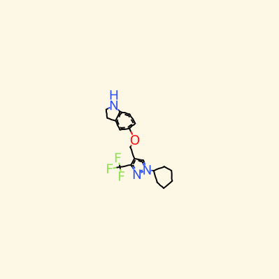 FC(F)(F)c1nn(C2CCCCC2)cc1COc1ccc2c(c1)CCN2